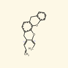 C=C/C=C1/Cc2ccc3c(c2O/C1=C/C)Oc1ccccc1C3